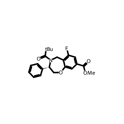 COC(=O)c1cc(F)c2c(c1)OC[C@H](c1ccccc1)N(C(=O)C(C)(C)C)C2